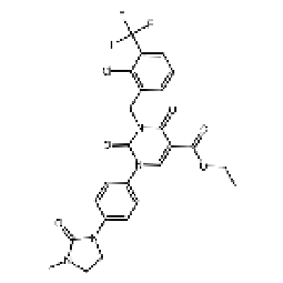 CCOC(=O)c1cn(-c2ccc(N3CCN(C)C3=O)cc2)c(=O)n(Cc2cccc(C(F)(F)F)c2Cl)c1=O